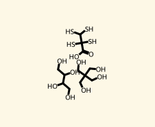 O=C(O)C(S)(S)C(S)S.OCC(CO)(CO)CO.OCC(O)C(O)CO